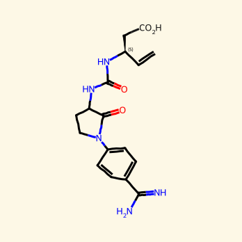 C=C[C@H](CC(=O)O)NC(=O)NC1CCN(c2ccc(C(=N)N)cc2)C1=O